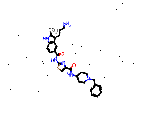 NCCCc1c(C(=O)O)[nH]c2ccc(C(=O)Nc3nc(C(=O)NC4CCN(Cc5ccccc5)CC4)cs3)cc12